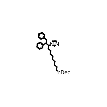 CCCCCCCCCCCCCCCCCCCC(C(Cc1ccccc1)c1ccccc1)n1ccnc1